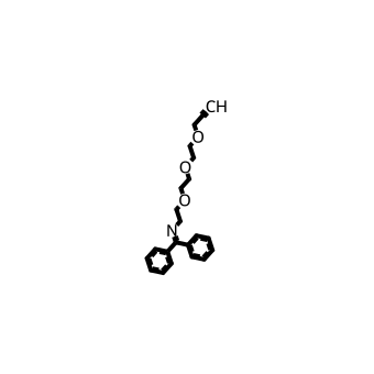 C#CCOCCOCCOCCN=C(c1ccccc1)c1ccccc1